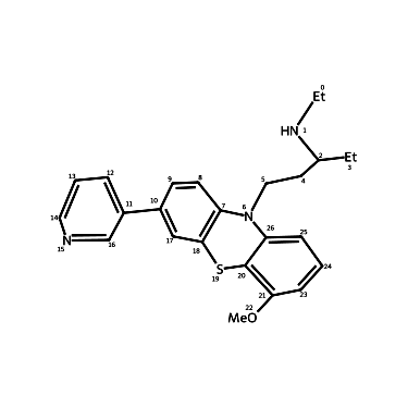 CCNC(CC)CCN1c2ccc(-c3cccnc3)cc2Sc2c(OC)cccc21